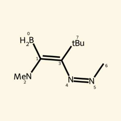 B/C(NC)=C(/N=N\C)C(C)(C)C